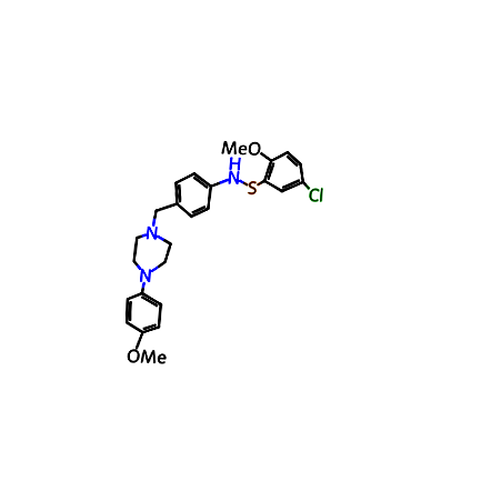 COc1ccc(N2CCN(Cc3ccc(NSc4cc(Cl)ccc4OC)cc3)CC2)cc1